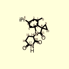 Cc1cc(C(C)C)cc2c1C1(CC1)C(=O)N2C1CCC(=O)NC1=O